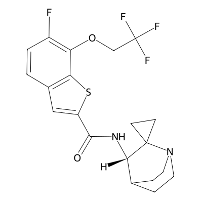 O=C(N[C@H]1C2CCN(CC2)C12CC2)c1cc2ccc(F)c(OCC(F)(F)F)c2s1